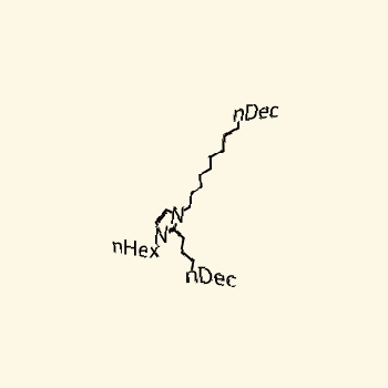 CCCCCCCCCCCCCCCCCCCn1cc[n+](CCCCCC)c1CCCCCCCCCCCCC